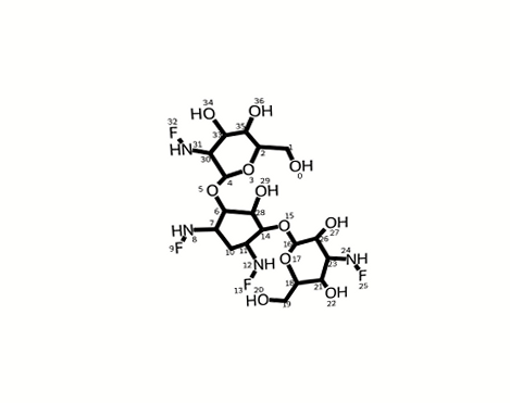 OCC1OC(OC2C(NF)CC(NF)C(OC3OC(CO)C(O)C(NF)C3O)C2O)C(NF)C(O)C1O